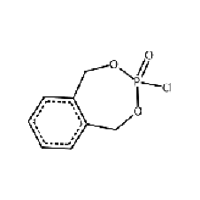 O=P1(Cl)OCc2ccccc2CO1